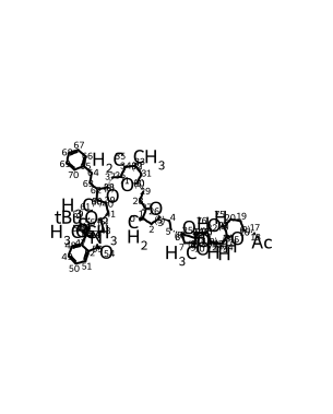 C=C1C[C@H](CC[C@@]23C[C@]4(C)O[C@H]5[C@@H](O2)[C@H]2O[C@@H](CC(C)=O)CC[C@@H]2O[C@H]5[C@H]4O3)OC1CC[C@H]1C[C@@H](C)C(=C)C(C[C@@H]2OC(C[C@@H](CN3C(=O)c4ccccc4C3=O)O[Si](C)(C)C(C)(C)C)[C@H](C)C2CCc2ccccc2)O1